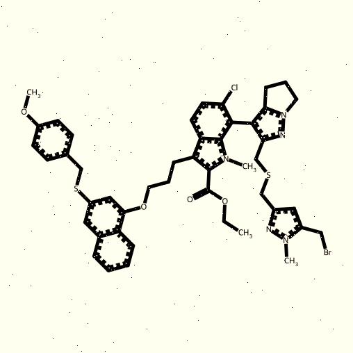 CCOC(=O)c1c(CCCOc2cc(SCc3ccc(OC)cc3)cc3ccccc23)c2ccc(Cl)c(-c3c(CSCc4cc(CBr)n(C)n4)nn4c3CCC4)c2n1C